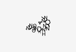 Cc1nc2c(n1C1CC1)-c1nc(N[C@H]3CCN(S(=O)(=O)c4cn(C)cn4)C[C@H]3C)ncc1CC2